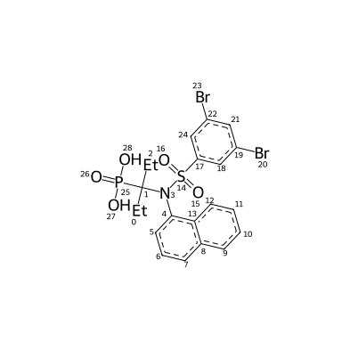 CCC(CC)(N(c1cccc2ccccc12)S(=O)(=O)c1cc(Br)cc(Br)c1)P(=O)(O)O